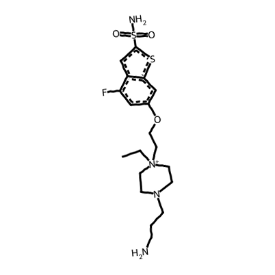 CC[N+]1(CCOc2cc(F)c3cc(S(N)(=O)=O)sc3c2)CCN(CCCN)CC1